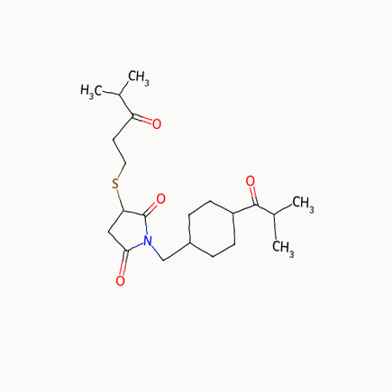 CC(C)C(=O)CCSC1CC(=O)N(CC2CCC(C(=O)C(C)C)CC2)C1=O